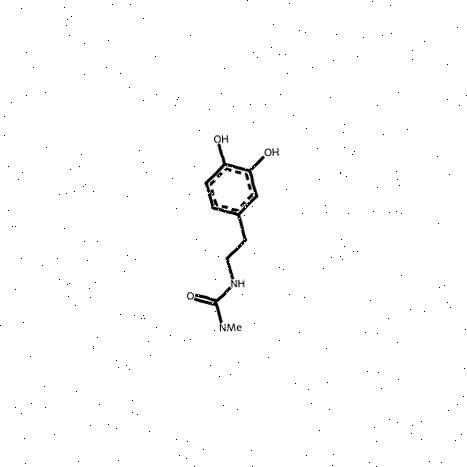 CNC(=O)NCCc1ccc(O)c(O)c1